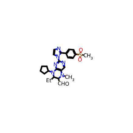 CCC1C(C=O)N(C)c2cnc(-n3ccnc3-c3ccc(S(C)(=O)=O)cc3)nc2N1C1CCCC1